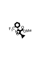 COC(=O)c1c([C@@H]2CCCC[C@H]2C(F)(F)F)noc1C1CC1